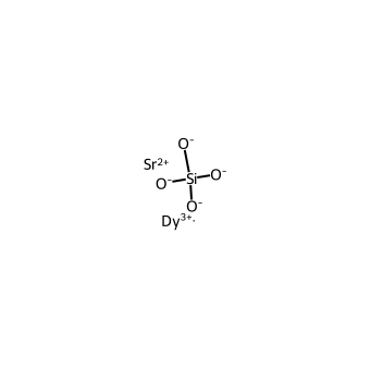 [Dy+3].[O-][Si]([O-])([O-])[O-].[Sr+2]